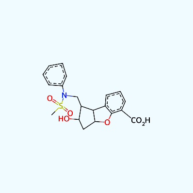 CS(=O)(=O)N(CC1C(O)CC2Oc3c(C(=O)O)cccc3C21)c1ccccc1